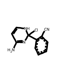 N#Cc1ccccc1C1(Cl)N=C(N)C=CN1